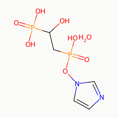 O.O=P(O)(CC(O)P(=O)(O)O)On1ccnc1